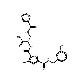 Cc1cc(C(=O)NCc2cccc(O)c2)sc1C(=O)N[C@@H](CNC(=O)c1cccs1)C(=O)O